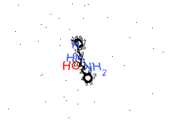 N[C@@H](Cc1ccccc1)[C@H](O)CNCCc1ccccn1